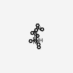 c1ccc(C2=NC(c3cccc(-n4c5ccccc5c5cc6c7ccccc7n(-c7ccccc7)c6cc54)n3)NC(c3ccc4ccccc4c3)=N2)cc1